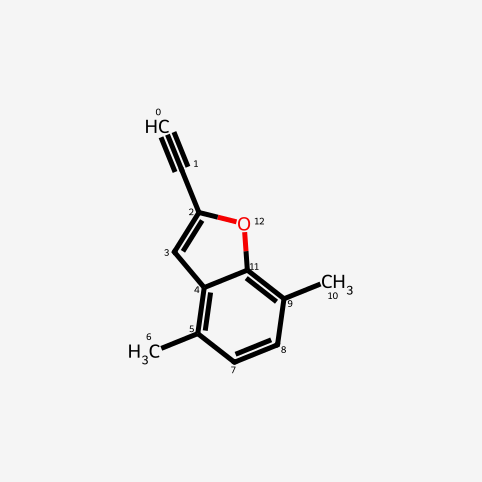 C#Cc1cc2c(C)ccc(C)c2o1